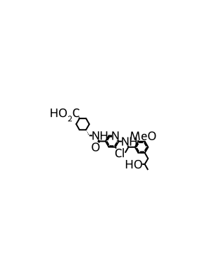 COc1ccc(CC(C)O)cc1C(C)Nc1ncc(C(=O)NC[C@H]2CC[C@H](C(=O)O)CC2)cc1Cl